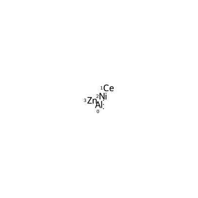 [Al].[Ce].[Ni].[Zn]